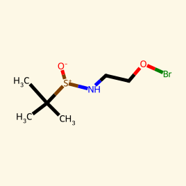 CC(C)(C)[S+]([O-])NCCOBr